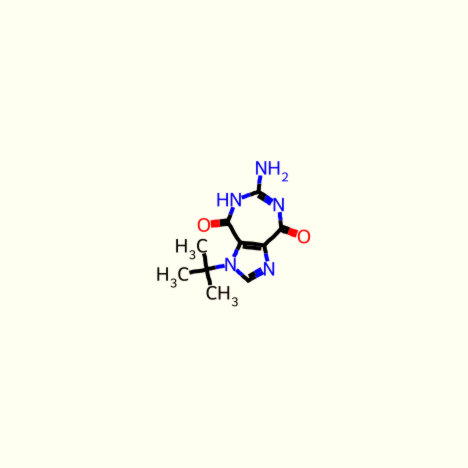 CC(C)(C)n1cnc2c(=O)nc(N)[nH]c(=O)c21